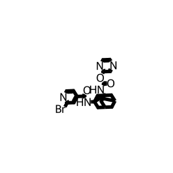 O=C(NC12CC3CC(C1)CC(NC(=O)c1ccnc(Br)c1)(C3)C2)Oc1cnccn1